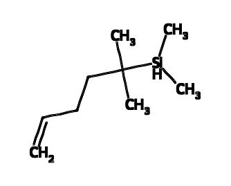 C=CCCC(C)(C)[SiH](C)C